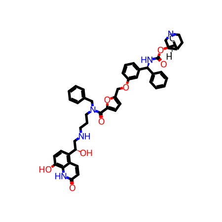 O=C(N[C@@H](c1ccccc1)c1cccc(OCc2ccc(C(=O)N(CCCNC[C@H](O)c3ccc(O)c4[nH]c(=O)ccc34)Cc3ccccc3)o2)c1)O[C@H]1CN2CCC1CC2